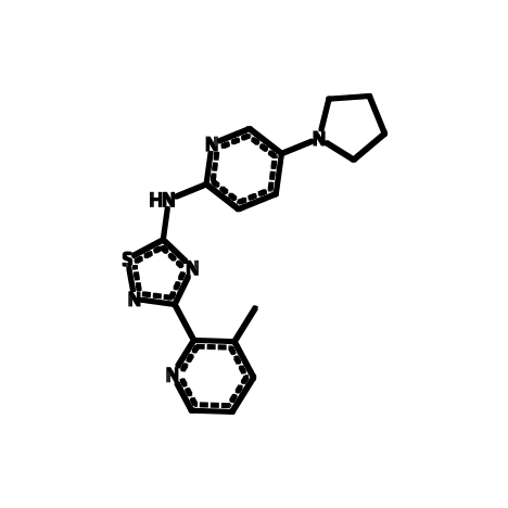 Cc1cccnc1-c1nsc(Nc2ccc(N3CCCC3)cn2)n1